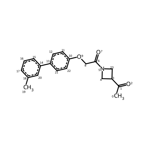 CC(=O)C1CN(C(=O)COc2ccc(-c3cccc(C)c3)cc2)C1